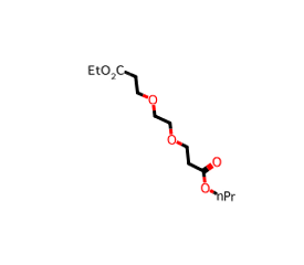 CCCOC(=O)CCOCCOCCC(=O)OCC